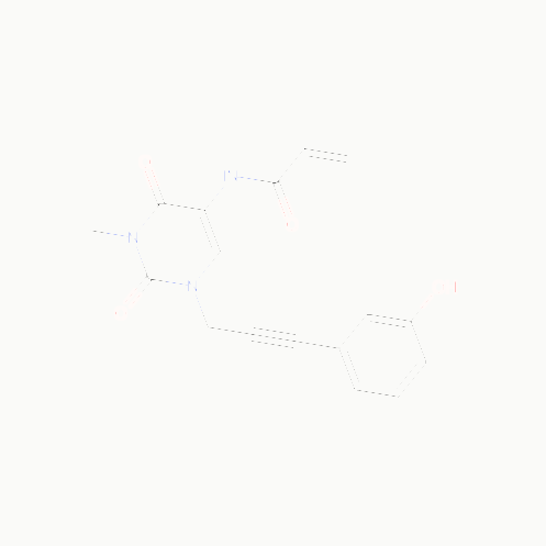 C=CC(=O)Nc1cn(CC#Cc2cccc(O)c2)c(=O)n(C)c1=O